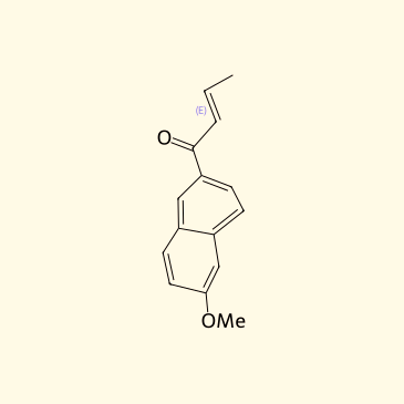 C/C=C/C(=O)c1ccc2cc(OC)ccc2c1